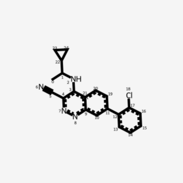 CC(Nc1c(C#N)nnc2cc(-c3ccccc3Cl)ccc12)C1CC1